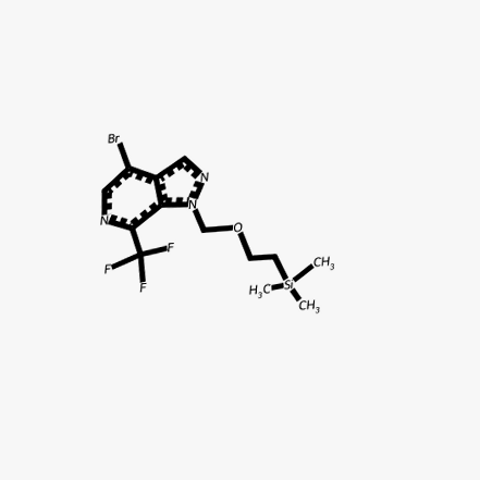 C[Si](C)(C)CCOCn1ncc2c(Br)cnc(C(F)(F)F)c21